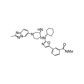 CNC(=O)c1cccc(-c2cnc(N[C@@H]3CCCC[C@H]3N[C@H]3CCCN(c4ccc5nc(C)nn5c4)C3)o2)c1